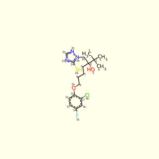 CC(C)(C)C(O)(CCCCOc1ccc(F)cc1Cl)Cn1ncnc1S